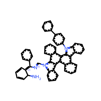 NC1C=CC=C/C1=C(/N=C/n1c2ccccc2c2c3c4ccccc4c4c5ccccc5n(-c5ccc(-c6ccccc6)cc5)c4c3c3ccccc3c21)c1ccccc1